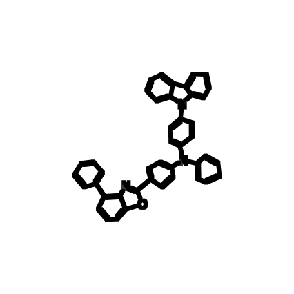 c1ccc(-c2cccc3oc(-c4ccc(N(c5ccccc5)c5ccc(-n6c7ccccc7c7ccccc76)cc5)cc4)nc23)cc1